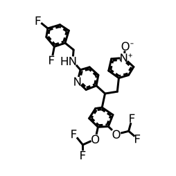 [O-][n+]1ccc(CC(c2ccc(NCc3ccc(F)cc3F)nc2)c2ccc(OC(F)F)c(OC(F)F)c2)cc1